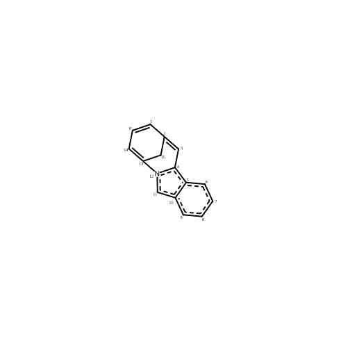 C1=CC2=Cc3c4ccccc4cn3C(=C1)C2